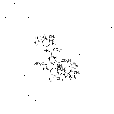 CN1C(C)(C)CC(NC(C(=O)O)c2nc(C(NC3CC(C)(C)N(C)C(C)(C)C3)C(=O)O)nc(C(NC3CC(C)(C)N(C)C(C)(C)C3)C(=O)O)n2)CC1(C)C